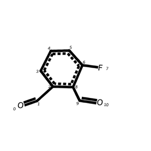 O=Cc1cccc(F)c1C=O